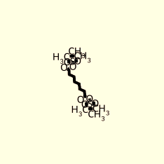 CC(C)(C)S(=O)(=O)OC(=O)CCCCCCC(=O)OS(=O)(=O)C(C)(C)C